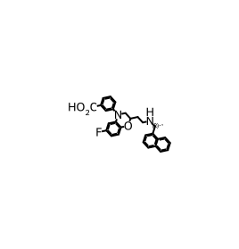 C[C@@H](NCCC1CN(c2cccc(C(=O)O)c2)c2cc(F)ccc2O1)c1cccc2ccccc12